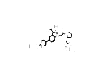 COC(=O)C[C@H]1CCCN1C(=O)Cn1nc(C(C)=O)c2cc(-c3cnc(C)nc3)ccc21